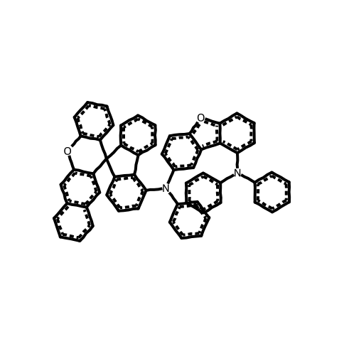 c1ccc(N(c2ccc3oc4cccc(N(c5ccccc5)c5ccccc5)c4c3c2)c2cccc3c2-c2ccccc2C32c3ccccc3Oc3cc4ccccc4cc32)cc1